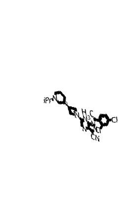 CC(C)N1CCC[C@@H](C2CN(c3cnc4c(C#N)nn(C(C)c5ccc(Cl)cc5Cl)c4n3)C2)C1